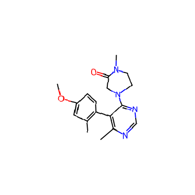 COc1ccc(-c2c(C)ncnc2N2CCN(C)C(=O)C2)c(C)c1